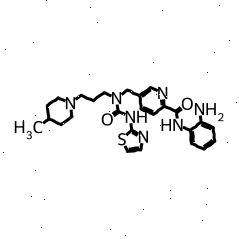 CC1CCN(CCCN(Cc2ccc(C(=O)Nc3ccccc3N)nc2)C(=O)Nc2nccs2)CC1